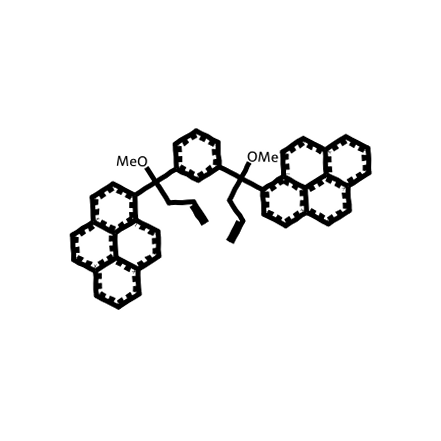 C=CCC(OC)(c1cccc(C(CC=C)(OC)c2ccc3ccc4cccc5ccc2c3c45)c1)c1ccc2ccc3cccc4ccc1c2c34